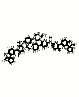 CCN1CCN(c2ccc(Nc3nc(-c4ccc5c(c4)C4(CCCC4)C(C)=N5)c(F)c[n+]3CCN3CCC(c4ccc(Nc5ncc(F)c(-c6ccc7c(c6)C6(CCCC6)C(C)=N7)n5)nc4)CC3)nc2)CC1